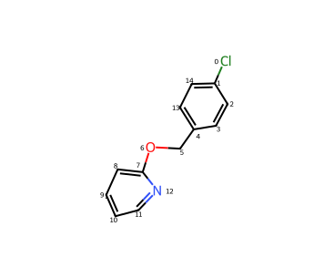 Clc1ccc(COc2c[c]ccn2)cc1